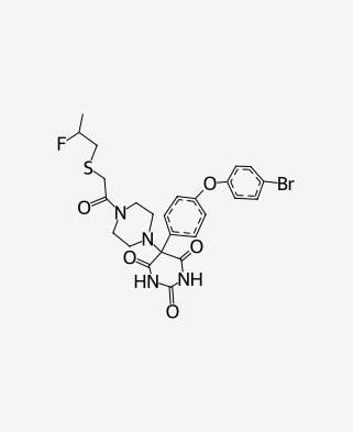 CC(F)CSCC(=O)N1CCN(C2(c3ccc(Oc4ccc(Br)cc4)cc3)C(=O)NC(=O)NC2=O)CC1